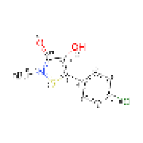 CCCCn1sc(-c2ccc(Cl)cc2)c(O)c1=O